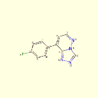 Fc1ccc(-c2ccnn3cnnc23)cc1